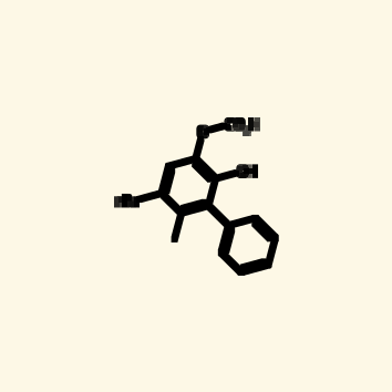 CCCCc1cc(OC(=O)O)c(O)c(-c2ccccc2)c1C